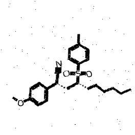 CCCCCC[C@H](C[C@@H](C#N)c1ccc(OC)cc1)S(=O)(=O)c1ccc(C)cc1